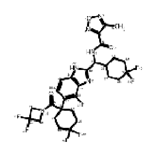 Cc1nonc1C(=O)NC(c1nc2c(F)c(C3(C(=O)N4CC(F)(F)C4)CCC(F)(F)CC3)ccc2[nH]1)C1CCC(F)(F)CC1